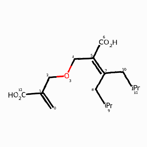 C=C(COCC(C(=O)O)=C(CC(C)C)CC(C)C)C(=O)O